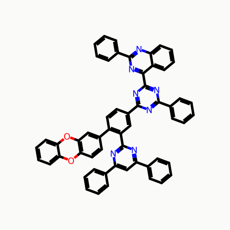 c1ccc(-c2cc(-c3ccccc3)nc(-c3cc(-c4nc(-c5ccccc5)nc(-c5nc(-c6ccccc6)nc6ccccc56)n4)ccc3-c3ccc4c(c3)Oc3ccccc3O4)n2)cc1